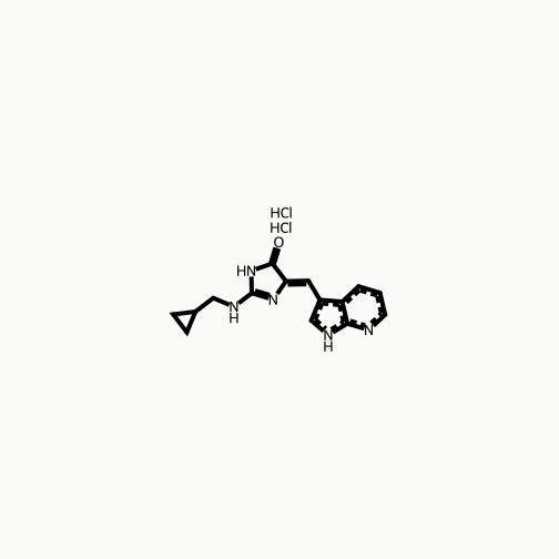 Cl.Cl.O=C1NC(NCC2CC2)=NC1=Cc1c[nH]c2ncccc12